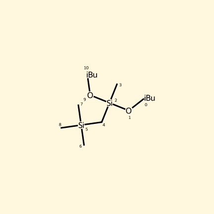 CCC(C)O[Si](C)(C[Si](C)(C)C)OC(C)CC